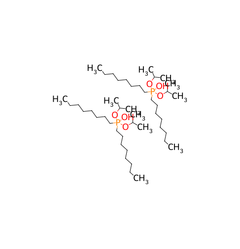 CCCCCCCCP(O)(CCCCCCCC)(OC(C)C)OC(C)C.CCCCCCCCP(O)(CCCCCCCC)(OC(C)C)OC(C)C